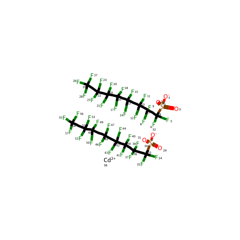 O=S(=O)([O-])C(F)(F)C(F)(F)C(F)(F)C(F)(F)C(F)(F)C(F)(F)C(F)(F)C(F)(F)F.O=S(=O)([O-])C(F)(F)C(F)(F)C(F)(F)C(F)(F)C(F)(F)C(F)(F)C(F)(F)C(F)(F)F.[Cd+2]